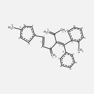 C=C(C)/C(C(=C)/C=C/c1ccc(C)cc1)=C(/c1ccccc1)c1ccccc1C